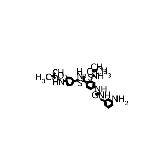 CC(C)OC(=O)Nc1ccc(-c2ncc(-c3ccc(NC(=O)NCc4cccc(N)c4)cc3SNC(C)(C)C)s2)cc1